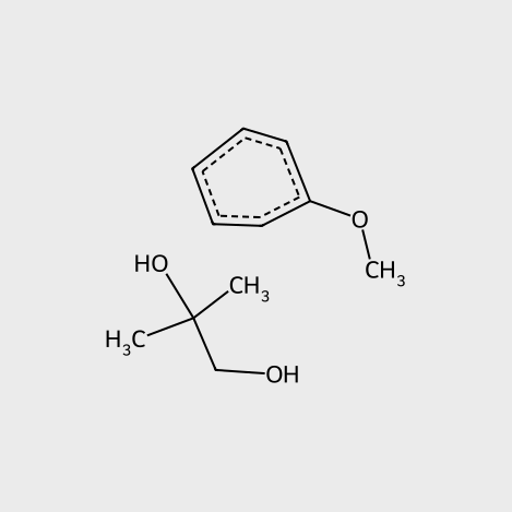 CC(C)(O)CO.COc1ccccc1